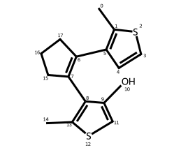 Cc1sccc1C1=C(c2c(O)csc2C)CCC1